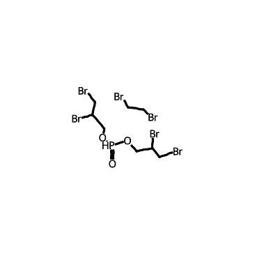 BrCCBr.O=[PH](OCC(Br)CBr)OCC(Br)CBr